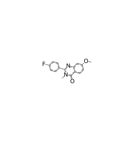 COc1ccc2c(=O)n(C)c(-c3ccc(F)cc3)nc2c1